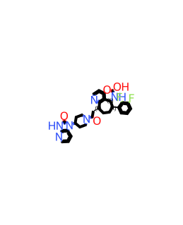 O=C(O)N[C@@H]1c2cccnc2[C@@H](CC(=O)N2CCC(n3c(=O)[nH]c4ncccc43)CC2)CC[C@@H]1c1cccc(F)c1F